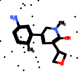 Cc1ccc(N)cc1C1=CC(C2COC2)=C(O)N(C)C1